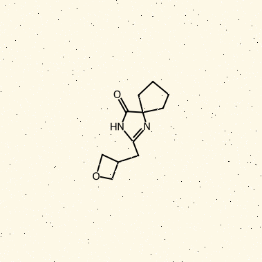 O=C1NC(CC2COC2)=NC12CCCC2